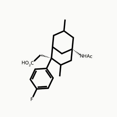 CC(=O)N[C@@]12CC(C)CC(C1)[C@](CC(=O)O)(c1ccc(F)cc1)C(C)C2